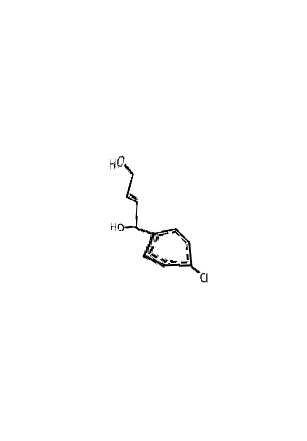 OC/C=C/C(O)c1ccc(Cl)cc1